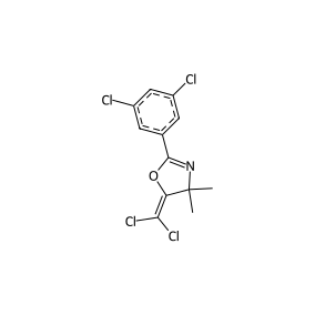 CC1(C)N=C(c2cc(Cl)cc(Cl)c2)OC1=C(Cl)Cl